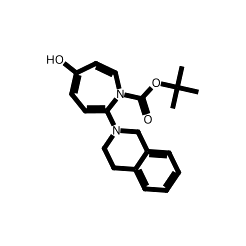 CC(C)(C)OC(=O)N1C=CC(O)=CC=C1N1CCc2ccccc2C1